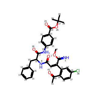 COC(=N)/C(=C\C(=O)NC(Cc1ccccc1)C(=O)Nc1ccc(C(=O)OC(C)(C)C)cc1)c1cc(Cl)ccc1C(C)=O